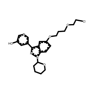 Oc1cncc(-c2nn(C3CCCCO3)c3ccc(OCCCOCCCl)cc23)c1